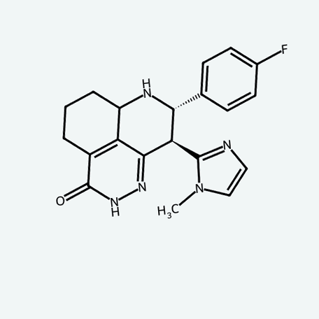 Cn1ccnc1[C@H]1c2n[nH]c(=O)c3c2C(CCC3)N[C@@H]1c1ccc(F)cc1